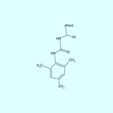 CCCCCC(CC)NC(=O)Nc1c(C)cc(C)cc1C